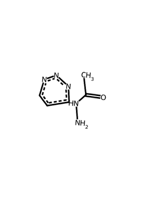 CC(=O)NN.c1cnnnc1